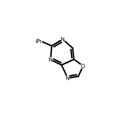 CC(C)c1ncc2ocnc2n1